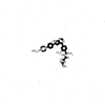 Cc1cc(-c2ncnc3[nH]c(-c4ccc(N5CCN(C(=O)O)CC5)cc4)cc23)ccc1[C@@H](C)NC(=O)c1nc(C(C)(C)C)no1